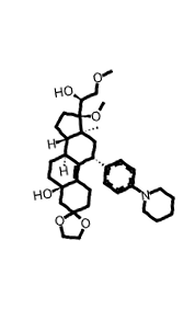 COC[C@H](O)[C@@]1(OC)CC[C@H]2[C@@H]3CC[C@@]4(O)CC5(CCC4=C3[C@@H](c3ccc(N4CCCCC4)cc3)C[C@@]21C)OCCO5